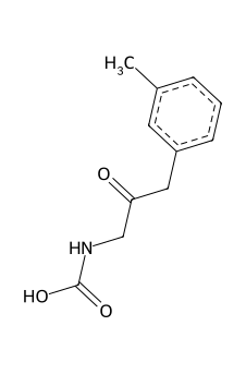 Cc1cccc(CC(=O)CNC(=O)O)c1